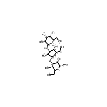 CO[C@@H]1OC(CO)[C@@H](O)[C@H](O[C@@H]2OC(CO)[C@@H](O)[C@H](O[C@@H]3OC(CO)[C@@H](O)[C@H](O)C3O)C2O)C1O